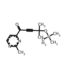 Cc1nccc(C(=O)C#CC(C)(C)O[Si](C)(C)C)n1